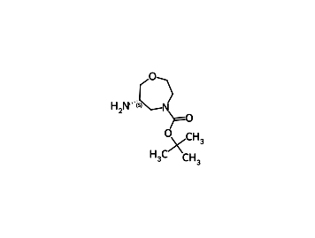 CC(C)(C)OC(=O)N1CCOC[C@@H](N)C1